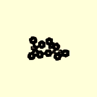 c1ccc(-c2oc3c4ccccc4c4ccc(-c5ccc(N(c6cccc7c6oc6ccccc67)c6cccc7c6oc6ccccc67)cc5)cc4c3c2-c2ccccc2)cc1